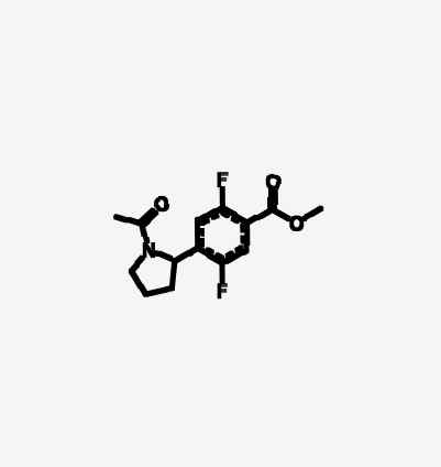 COC(=O)c1cc(F)c(C2CCCN2C(C)=O)cc1F